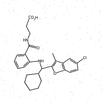 Cc1c(C(Nc2ccccc2C(=O)NCCC(=O)O)C2CCCCC2)oc2ccc(Cl)cc12